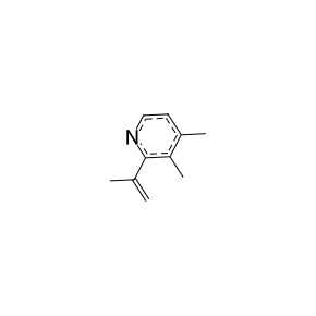 C=C(C)c1nccc(C)c1C